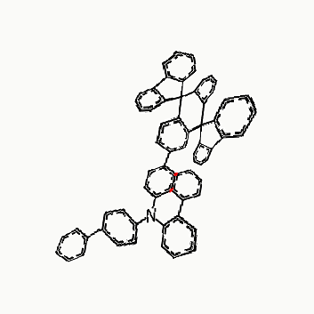 c1ccc(-c2ccc(N(c3ccc(-c4ccc5c(c4)C4(c6ccccc6-c6ccccc64)c4ccccc4C54c5ccccc5-c5ccccc54)cc3)c3ccccc3-c3ccccc3)cc2)cc1